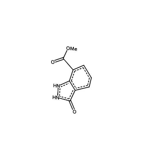 COC(=O)c1cccc2c(=O)[nH][nH]c12